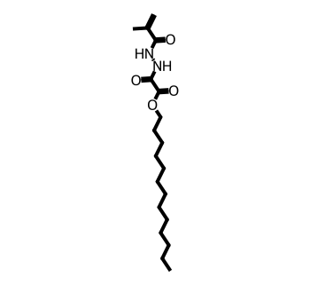 C=C(C)C(=O)NNC(=O)C(=O)OCCCCCCCCCCCCC